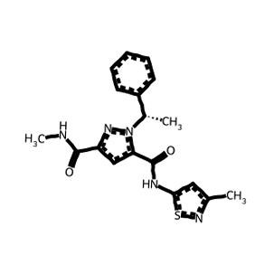 CNC(=O)c1cc(C(=O)Nc2cc(C)ns2)n([C@@H](C)c2ccccc2)n1